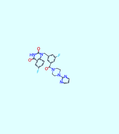 O=C(c1cc(F)cc(Cn2c(=O)[nH]c(=O)c3cc(F)ccc32)c1)N1CCN(c2ncccn2)CC1